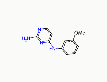 COc1cccc(Nc2ccnc(N)n2)c1